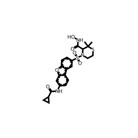 CC1(C)SCCN(S(=O)(=O)c2ccc3oc4cc(NC(=O)C5CC5)ccc4c3c2)C1C(=O)NO